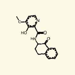 COc1ccnc(C(=O)NC2CCc3ccccc3C2=O)c1O